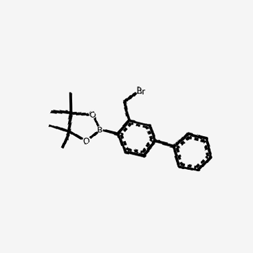 CC1(C)OB(c2ccc(-c3ccccc3)cc2CBr)OC1(C)C